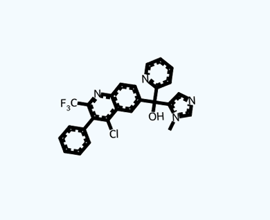 Cn1cncc1C(O)(c1ccc2nc(C(F)(F)F)c(-c3ccccc3)c(Cl)c2c1)c1ccccn1